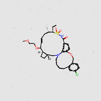 CC[C@@H]1[C@@H](C)C/C=C/[C@H](OCCOC)[C@@H]2CC[C@H]2CN2CCCCc3cc(Cl)ccc3COc3ccc(cc32)C(=O)NS1(=O)=O